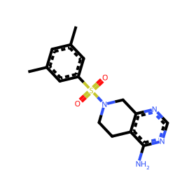 Cc1cc(C)cc(S(=O)(=O)N2CCc3c(N)ncnc3C2)c1